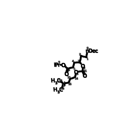 CCCCCCCCCCCCC(CCC(=O)OC(C)C)OC(=O)OCCCN(C)C